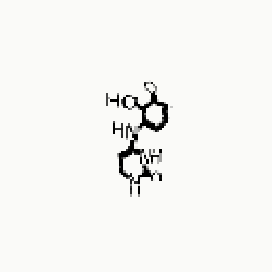 O=C1NCC=C(NC2=CC=[C]C(=O)C2O)N1